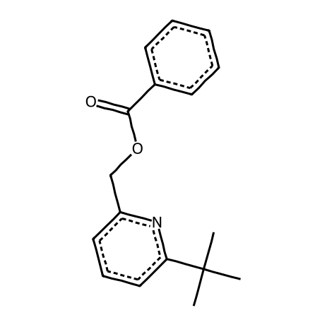 CC(C)(C)c1cccc(COC(=O)c2ccccc2)n1